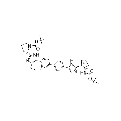 CC(C)(C)OC(=O)N[C@@H]1CCC[C@@H]1c1ncc(-c2ccc(-c3ccc4c(c3)CCCc3nc([C@@H]5CCCN5C(=O)OC(C)(C)C)[nH]c3-4)cc2)[nH]1